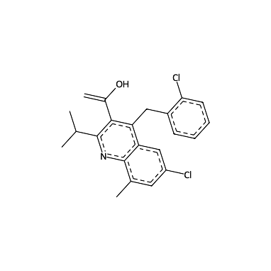 C=C(O)c1c(C(C)C)nc2c(C)cc(Cl)cc2c1Cc1ccccc1Cl